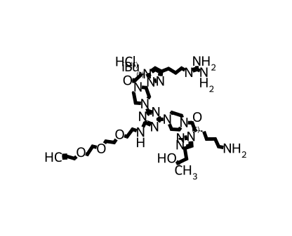 C#CCOCCOCCOCCNc1nc(N2CCN(C(=O)[C@H]([C@@H](C)CC)n3cc(CCCN=C(N)N)nn3)CC2)nc(N2CCN(C(=O)[C@H](CCCCN)n3cc(CC(C)O)nn3)CC2)n1.Cl